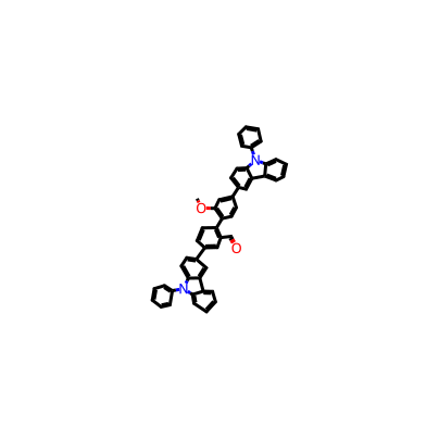 COc1cc(-c2ccc3c(c2)c2ccccc2n3-c2ccccc2)ccc1-c1ccc(-c2ccc3c(c2)c2ccccc2n3-c2ccccc2)cc1C=O